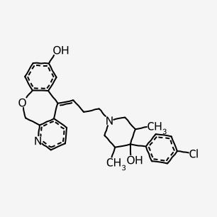 CC1CN(CCC=C2c3cc(O)ccc3OCc3ncccc32)CC(C)C1(O)c1ccc(Cl)cc1